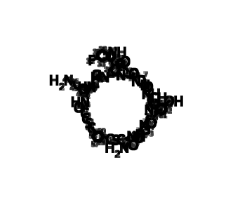 C[C@@H]1NC(=O)[C@@H]2CCCN2C(=O)[C@H](Cc2ccco2)NC(=O)[C@H](CCc2c[nH]c3ccc(F)cc23)NC(=O)CNC(=O)[C@H](CCCCN)NC(=O)CCSCc2cccc(c2)CSC[C@@H](C(N)=O)NC(=O)[C@@H]2CCCN2C(=O)[C@H](Cc2ccc(O)cc2)NC1=O